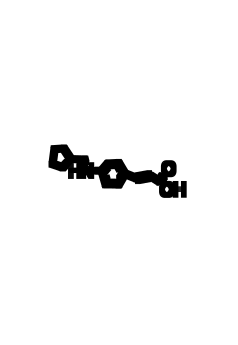 O=C(O)C#Cc1ccc(NCC2CCCC2)cc1